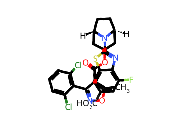 Cc1onc(-c2c(Cl)cccc2Cl)c1C(=O)OC1C[C@@H]2CC[C@@H](C1)N2c1nc2c(F)cc(C(=O)O)cc2s1